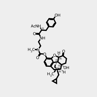 CC(=O)N[C@@H](Cc1ccc(O)cc1)C(=O)NCCN(C)C(=O)Oc1ccc2c3c1O[C@H]1C(=O)CC[C@@]4(O)[C@@H](C2)[N+](C)(CC2CC2)CC[C@]314